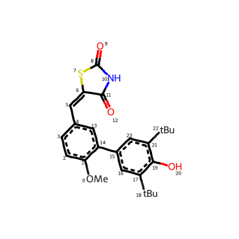 COc1ccc(C=C2SC(=O)NC2=O)cc1-c1cc(C(C)(C)C)c(O)c(C(C)(C)C)c1